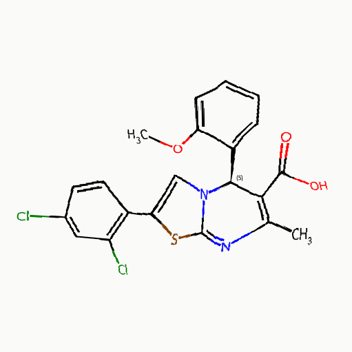 COc1ccccc1[C@H]1C(C(=O)O)=C(C)N=C2SC(c3ccc(Cl)cc3Cl)=CN21